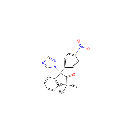 CC(C)(C)C(=O)C(c1ccccc1)(c1ccc([N+](=O)[O-])cc1)n1cncn1